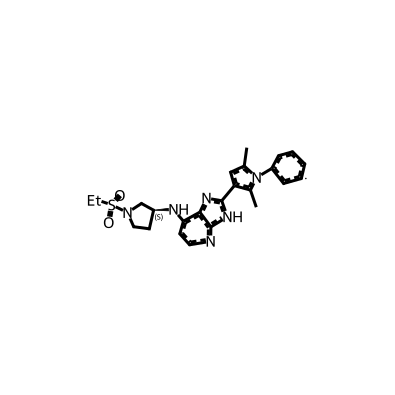 CCS(=O)(=O)N1CC[C@H](Nc2ccnc3[nH]c(-c4cc(C)n(-c5c[c]ccc5)c4C)nc23)C1